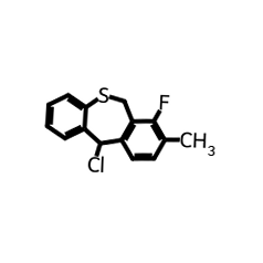 Cc1ccc2c(c1F)CSc1ccccc1C2Cl